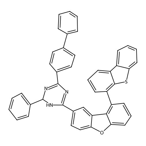 c1ccc(-c2ccc(C3=NC(c4ccccc4)NC(c4ccc5oc6cccc(-c7cccc8c7sc7ccccc78)c6c5c4)=N3)cc2)cc1